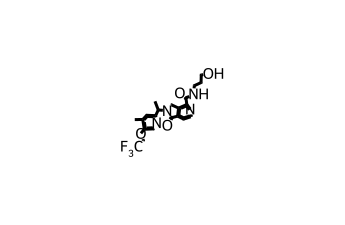 Cc1cc(C(C)N2Cc3c(ccnc3C(=O)NCCCO)C2=O)ncc1OCC(F)(F)F